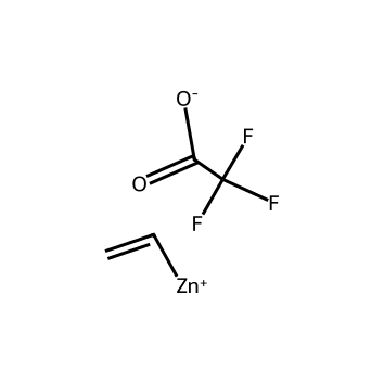 C=[CH][Zn+].O=C([O-])C(F)(F)F